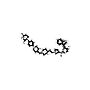 O=C1CCN(c2ccc(N3CCC(CN4CCC(CCN5CC[C@@H](Nc6ncc(Cl)c(-c7c[nH]c8ccccc78)n6)C5)CC4)CC3)cc2)C(=O)N1